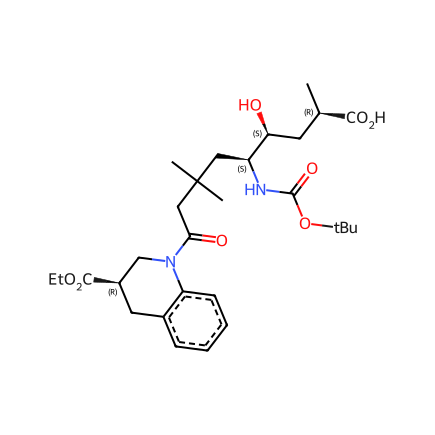 CCOC(=O)[C@@H]1Cc2ccccc2N(C(=O)CC(C)(C)C[C@H](NC(=O)OC(C)(C)C)[C@@H](O)C[C@@H](C)C(=O)O)C1